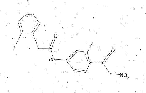 Cc1ccccc1CC(=O)Nc1ccc(C(=O)C[N+](=O)[O-])c(C)c1